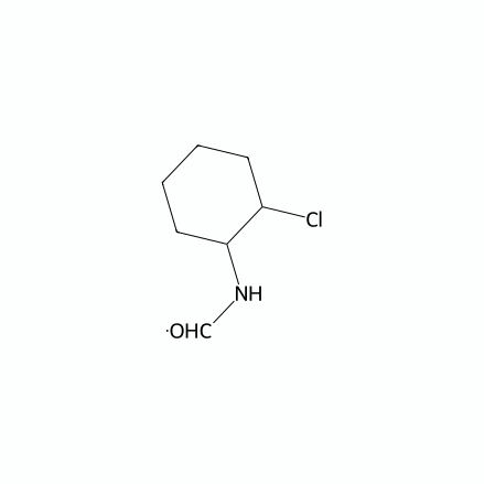 O=[C]NC1CCCCC1Cl